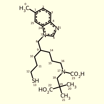 Cc1ccc2ncn(CC(CCCS)CCCN(CC(C)(C)C(=O)O)C(=O)O)c2c1